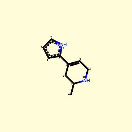 CC1CC(c2ccc[nH]2)=CCN1